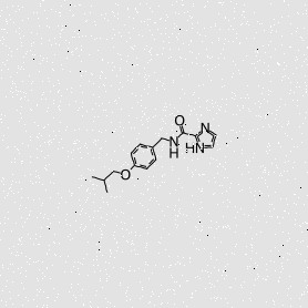 CC(C)COc1ccc(CNC(=O)c2ncc[nH]2)cc1